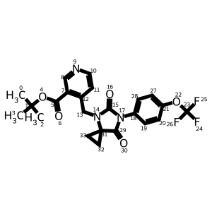 CC(C)(C)OC(=O)c1cnccc1CN1C(=O)N(c2ccc(OC(F)(F)F)cc2)C(=O)C12CC2